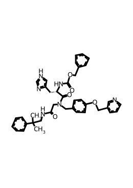 CC(C)(CNC(=O)CN(Cc1ccc(OCc2cccnc2)cc1)C(=O)[C@H](Cc1c[nH]cn1)NC(=O)OCc1ccccc1)c1ccccc1